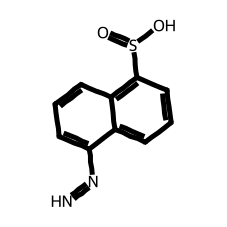 N=Nc1cccc2c(S(=O)O)cccc12